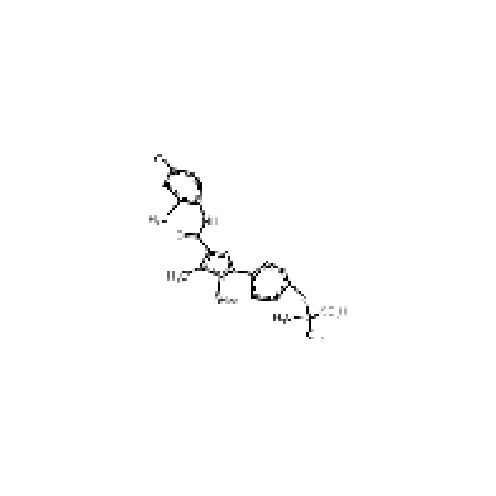 CCCCCCn1c(-c2ccc(SC(C)(C)C(=O)O)cc2)nc(C(=O)Nc2ccc(Cl)cc2C)c1C